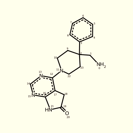 NCC1(c2ccccc2)CCN(c2ncnc3c2CC(=O)N3)CC1